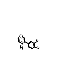 Fc1ccc(C2=COC=CB2)cc1F